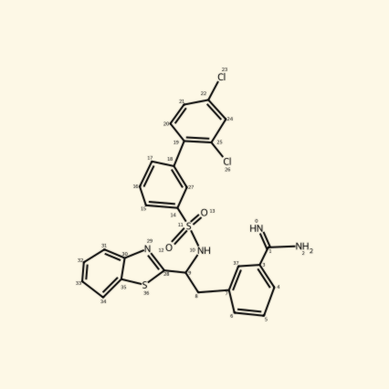 N=C(N)c1cccc(CC(NS(=O)(=O)c2cccc(-c3ccc(Cl)cc3Cl)c2)c2nc3ccccc3s2)c1